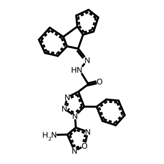 Nc1nonc1-n1nnc(C(=O)NN=C2c3ccccc3-c3ccccc32)c1-c1ccccc1